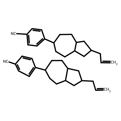 C=CCC1CC2CCC(c3ccc(C#N)cc3)CCC2C1.C=CCC1CC2CCC(c3ccc(C#N)cc3)CCC2C1